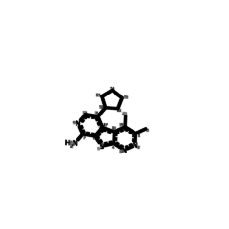 Cc1nnc2sc3c(N)ncc(C4CCCC4)c3c2c1C